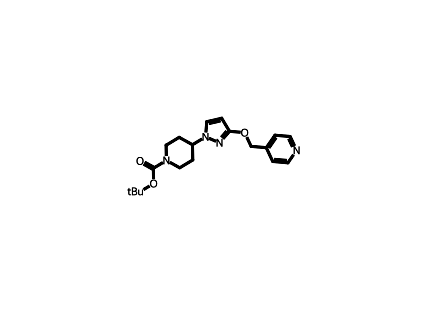 CC(C)(C)OC(=O)N1CCC(n2ccc(OCc3ccncc3)n2)CC1